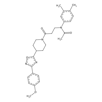 COc1ccc(-c2noc(C3CCN(C(=O)CCN(C(C)=O)c4ccc(C)c(C)c4)CC3)n2)cc1